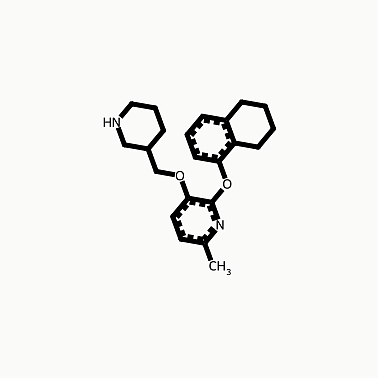 Cc1ccc(OCC2CCCNC2)c(Oc2cccc3c2CCCC3)n1